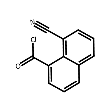 N#Cc1cccc2cccc(C(=O)Cl)c12